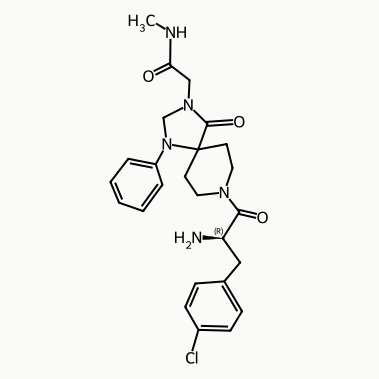 CNC(=O)CN1CN(c2ccccc2)C2(CCN(C(=O)[C@H](N)Cc3ccc(Cl)cc3)CC2)C1=O